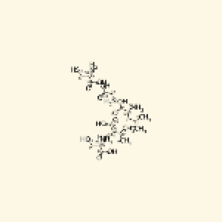 CC(C)C[C@H](N)C(=O)O.CC(C)[C@H](N)C(=O)O.NCC(=O)O.N[C@@H](CO)C(=O)O.N[C@@H](CS)C(=O)O